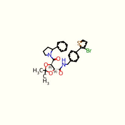 CC1(C)O[C@@H](C(=O)NCc2ccc(-c3sccc3Br)cc2)[C@H](C(=O)N2CCCC2c2ccccc2)O1